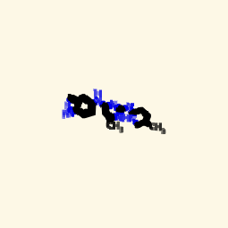 Cc1cc(Nc2ccc3[nH]ncc3c2)nc(/N=C2/CCC(C)CN2)n1